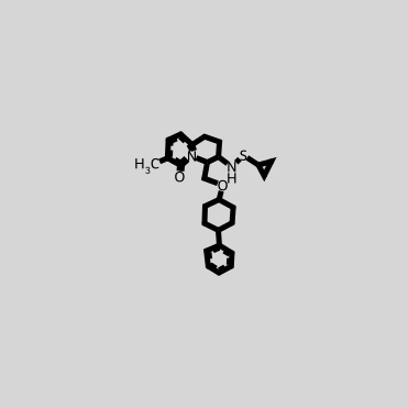 Cc1ccc2n(c1=O)C(COC1CCC(c3ccccc3)CC1)C(NSC1CC1)CC2